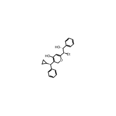 CC[C@@H](C1=CC(O)=C([C@@H](c2ccccc2)C2CC2)CO1)[C@H](O)c1ccccc1